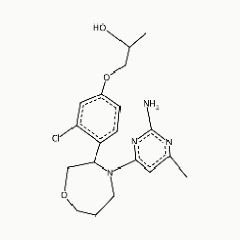 Cc1cc(N2CCCOCC2c2ccc(OCC(C)O)cc2Cl)nc(N)n1